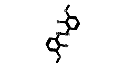 COc1cccc(NNc2cccc(OC)c2Br)c1Br